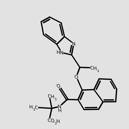 CC(Oc1c(C(=O)NC(C)(C)C(=O)O)ccc2ccccc12)c1nc2ccccc2[nH]1